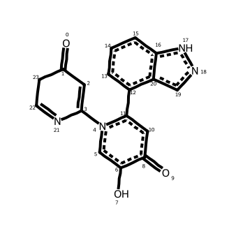 O=C1C=C(n2cc(O)c(=O)cc2-c2cccc3[nH]ncc23)N=CC1